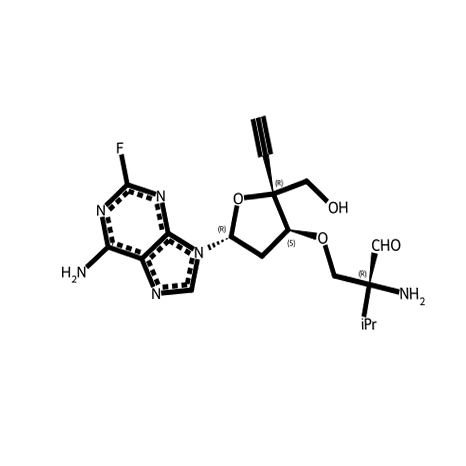 C#C[C@]1(CO)O[C@@H](n2cnc3c(N)nc(F)nc32)C[C@@H]1OC[C@@](N)(C=O)C(C)C